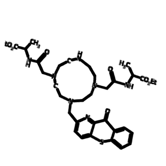 CCOC(=O)C(C)NC(=O)CN1CCNCCN(CC(=O)NC(C)C(=O)OCC)CCN(Cc2ccc3sc4ccccc4c(=O)c3n2)CC1